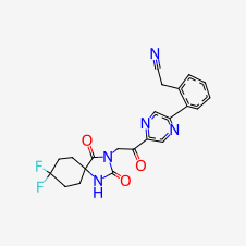 N#CCc1ccccc1-c1cnc(C(=O)CN2C(=O)NC3(CCC(F)(F)CC3)C2=O)cn1